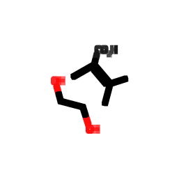 CC(C)=C(C)C(=O)O.OCCO